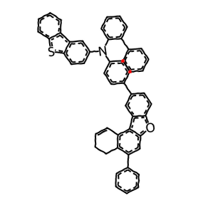 C1=Cc2c(c(-c3ccccc3)cc3oc4ccc(-c5ccc(N(c6ccc7sc8ccccc8c7c6)c6ccccc6-c6ccccc6)cc5)cc4c23)CC1